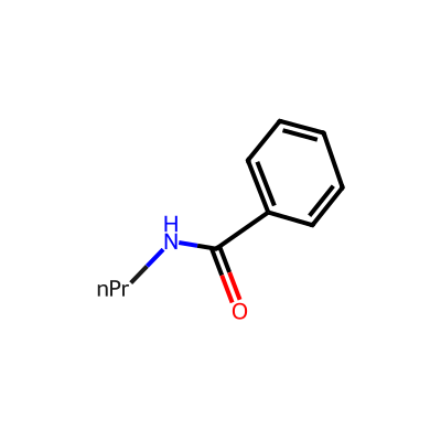 C[CH]CNC(=O)c1ccccc1